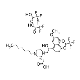 CCCCCCCN1CCN(CC(O)c2ccnc3ccc(OC)cc23)[C@H](CC(=O)O)C1.O=C(O)C(F)(F)F.O=C(O)C(F)(F)F.O=C(O)C(F)(F)F